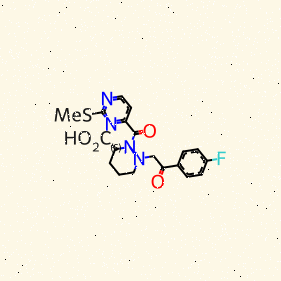 CSc1nccc(C(=O)N2[C@H](C(=O)O)CCCN2CC(=O)c2ccc(F)cc2)n1